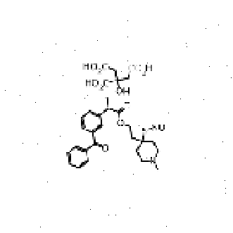 CC(C(=O)OCCC1(SN=O)CCN(C)CC1)c1cccc(C(=O)c2ccccc2)c1.O=C(O)CC(O)(CC(=O)O)C(=O)O